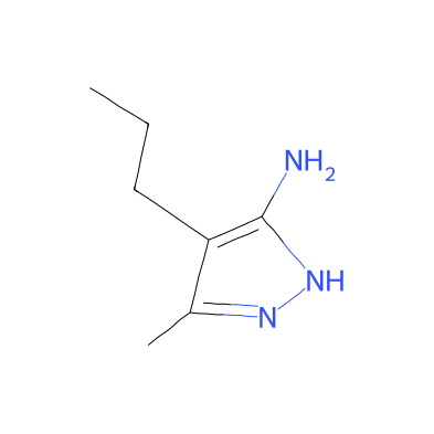 CCCc1c(C)n[nH]c1N